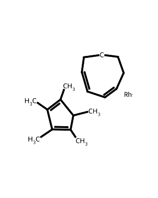 C1=CCCCCC=C1.CC1=C(C)C(C)C(C)=C1C.[Rh]